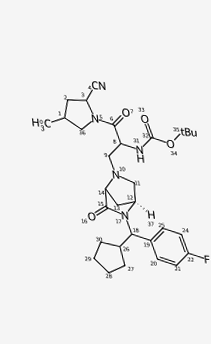 CC1CC(C#N)N(C(=O)C(CN2C[C@@H]3CC2C(=O)N3C(c2ccc(F)cc2)C2CCCC2)NC(=O)OC(C)(C)C)C1